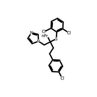 CCCC(CCc1ccc(Cl)cc1)(Cn1ccnc1)Sc1c(Cl)cccc1Cl